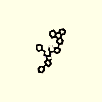 CC/C(c1cccc(-c2ccc3c4ccccc4c4ccccc4c3c2)c1)=c1/sc2ccc(-c3ccccc3)cc2/c1=C/CC1=CC=CCC1